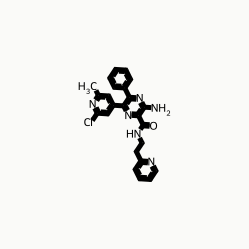 Cc1cc(-c2nc(C(=O)NCCc3ccccn3)c(N)nc2-c2ccccc2)cc(Cl)n1